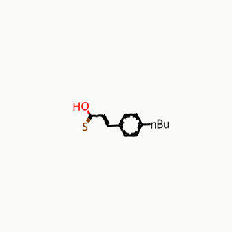 CCCCc1ccc(C=CC(O)=S)cc1